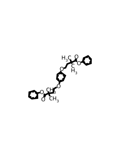 CC(C)(CCOc1ccc(OCCC(C)(C)C(=O)Oc2ccccc2)cc1)C(=O)Oc1ccccc1